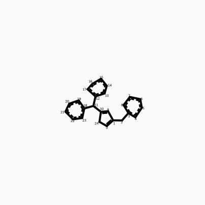 C1=C(Cc2ccccc2)C=C(C(c2ccccc2)c2ccccc2)C1